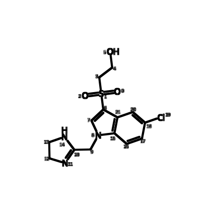 O=S(=O)(CCO)c1cn(CC2=NCCN2)c2ccc(Cl)cc12